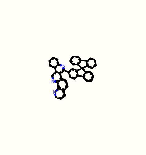 c1ccc2c(c1)-c1ccccc1C21c2ccccc2-c2ccc(-c3nc4ccccc4c4cnc5c(ccc6cccnc65)c34)cc21